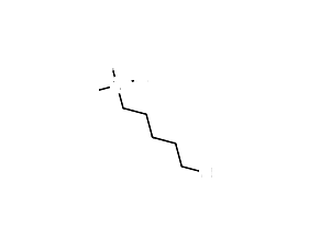 CCCCCCCCCCCC[N+](CC)(CC)CC.Cl